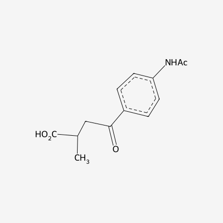 CC(=O)Nc1ccc(C(=O)CC(C)C(=O)O)cc1